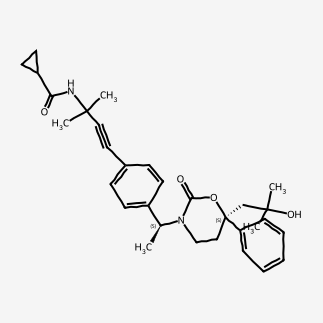 C[C@@H](c1ccc(C#CC(C)(C)NC(=O)C2CC2)cc1)N1CC[C@](CC(C)(C)O)(c2ccccc2)OC1=O